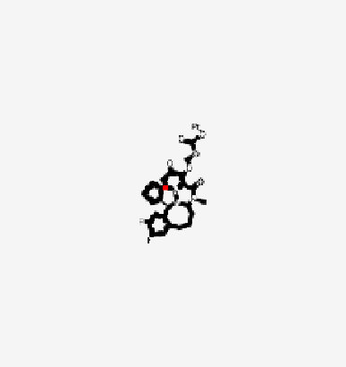 CC(C)OC(=O)OCOc1c2n(ccc1=O)N1C(CCCc3cc(F)c(F)cc3[C@H]1c1ccccc1)N(C)C2=O